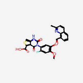 COc1cc(F)c(-n2c(=O)[nH]c3csc(C(=O)O)c3c2=O)cc1OCc1cccc2ccc(C)nc12